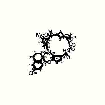 CO[C@H]1C2=CC(C)(C2)[C@H](C)CS(=O)(=O)NC(=O)c2ccc3c(c2)N(C[C@@H]2CC[C@H]21)C[C@@]1(CCCc2cc(Cl)ccc21)CO3